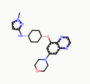 Cn1ccc(N[C@H]2CC[C@@H](Oc3cc(N4CCOCC4)cc4nccnc34)CC2)n1